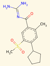 Cc1cc(C2CCCC2)c(S(C)(=O)=O)cc1C(=O)N=C(N)N